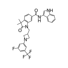 CC1(C)C(=O)N(CC2CN(c3cc(F)cc(C(F)(F)F)c3)C2)c2cc(C(=O)Nc3c[nH]c4ccccc34)ccc21